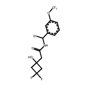 CCC(NC(=O)CC1(O)CC(F)(F)C1)c1cccc(OC(F)(F)F)c1